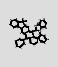 CC1(C)c2ccccc2-c2cc3c(-c4ccccc4)c4ccccc4c(-c4nc5ccccc5n4-c4ccccc4)c3cc21